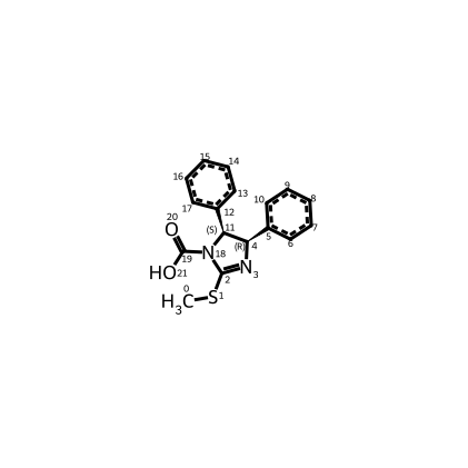 CSC1=N[C@H](c2ccccc2)[C@H](c2ccccc2)N1C(=O)O